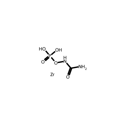 NC(=O)NOP(=O)(O)O.[Zr]